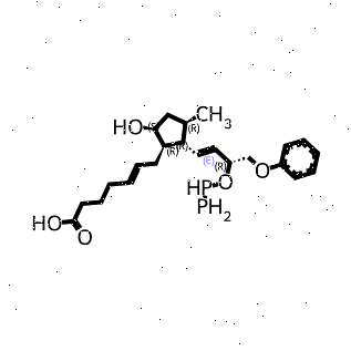 C[C@@H]1C[C@H](O)[C@H](CC=CCCCC(=O)O)[C@H]1/C=C/[C@H](COc1ccccc1)OPP